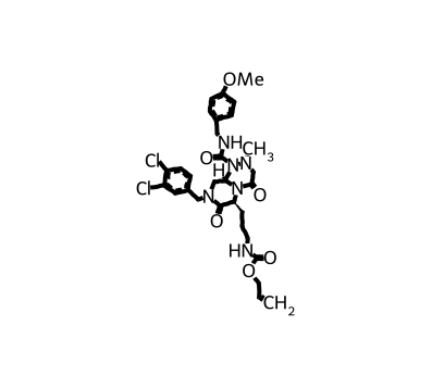 C=CCOC(=O)NCCC[C@H]1C(=O)N(Cc2ccc(Cl)c(Cl)c2)C[C@H]2N1C(=O)CN(C)N2C(=O)NCc1ccc(OC)cc1